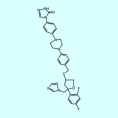 O=c1[nH]ncn1-c1ccc(N2CCN(c3ccc(CSC4COC(Cn5cncn5)(c5ccc(F)cc5F)C4)cc3)CC2)cc1